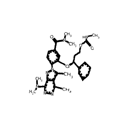 CNC(=O)OCCC(Oc1cc(C(=O)N(C)C)ccc1-n1nc2c(N(C)C)nnc(C)c2c1C)c1ccccc1